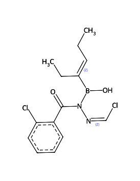 CC/C=C(\CC)B(O)N(/N=C\Cl)C(=O)c1ccccc1Cl